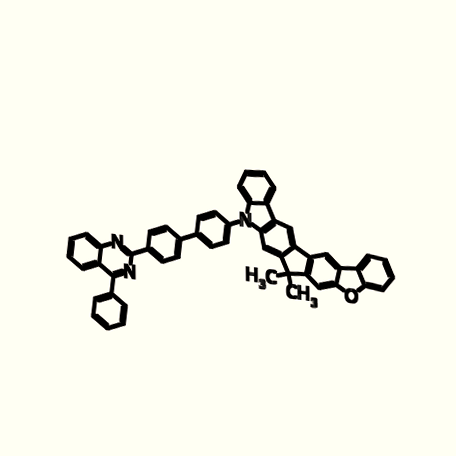 CC1(C)c2cc3oc4ccccc4c3cc2-c2cc3c4ccccc4n(-c4ccc(-c5ccc(-c6nc(-c7ccccc7)c7ccccc7n6)cc5)cc4)c3cc21